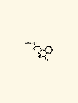 CCCCNC(=O)Cc1n[nH]c(=O)c2ccccc12